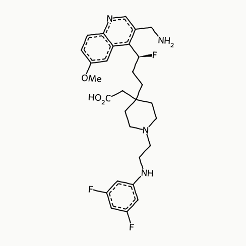 COc1ccc2ncc(CN)c([C@@H](F)CCC3(CC(=O)O)CCN(CCNc4cc(F)cc(F)c4)CC3)c2c1